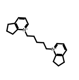 c1cc2c([n+](CCCCC[n+]3cccc4c3CCC4)c1)CCC2